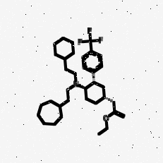 C=C(C[C@@H]1CC[C@@H](N(CCC2CCCCCC2)CCC2CCCCC2)[C@H](c2ccc(C(F)(F)F)cc2)C1)OCC